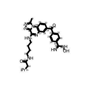 Cc1nnc2c(NCCCCNC(=O)CC(C)C)nc3cc(C(=O)c4ccc(C(=N)NO)cc4)ccc3n12